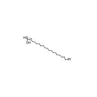 CC(C)CCCCCCCCCCCCCCCCCOP(O)O